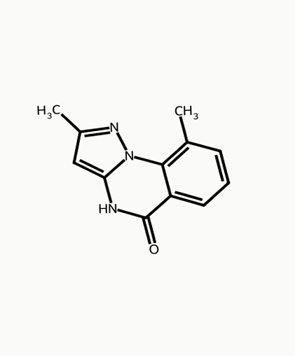 Cc1cc2[nH]c(=O)c3cccc(C)c3n2n1